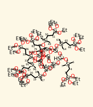 CCO[Si](CC[Si](C)(C)O[SiH]1O[Si]2(OC)O[Si]3(O[Si](C)(C)CC[Si](OCC)(OCC)OCC)O[Si](O)(O[Si](C)(C)CC[Si](OCC)(OCC)OCC)O[Si]4(O[Si](C)(C)CC[Si](OCC)(OCC)OCC)O[Si](O[Si](C)(C)CC[Si](OCC)(OCC)OCC)(O1)O[Si](O[Si](C)(C)CC[Si](OCC)(OCC)OCC)(O2)O[Si](O[Si](C)(C)CC[Si](OCC)(OCC)OCC)(O3)O4)(OCC)OCC